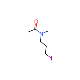 CC(=O)N(C)CCCI